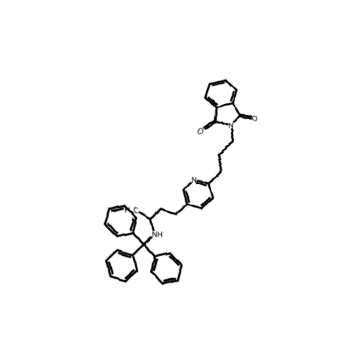 CC(CCc1ccc(CCCN2C(=O)c3ccccc3C2=O)nc1)NC(c1ccccc1)(c1ccccc1)c1ccccc1